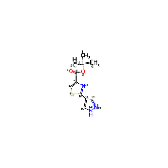 CC(C)(C)OC(=O)c1csc(-c2cn[nH]c2)n1